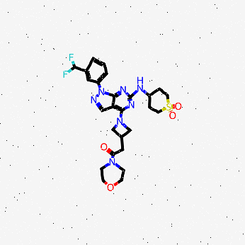 O=C(CC1CN(c2nc(NC3CCS(=O)(=O)CC3)nc3c2cnn3-c2cccc(C(F)F)c2)C1)N1CCOCC1